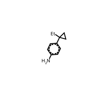 CCC1(c2ccc(N)cc2)CC1